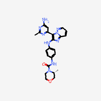 Cc1nc(N)cc(-c2c(Nc3ccc(NC(=O)N4CCOC[C@H]4C)cc3)nc3cccnn23)n1